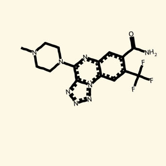 CN1CCN(c2nc3cc(C(N)=O)c(C(F)(F)F)cc3n3nnnc23)CC1